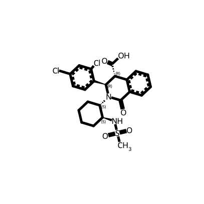 CS(=O)(=O)N[C@H]1CCCC[C@@H]1N1C(=O)c2ccccc2[C@@H](C(=O)O)[C@@H]1c1ccc(Cl)cc1Cl